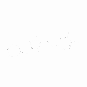 Oc1ccc(/C=C/c2nc(CC3CCCCC3)no2)cc1O